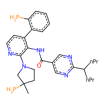 CCCC(CCC)c1ncc(C(=O)Nc2c(-c3ccccc3P)ccnc2N2CCC(C)(P)C2)cn1